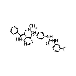 CN(C)Cc1c(-c2ccccc2)[nH]c2ncnc(Oc3ccc(NC(=O)Nc4cccc(F)c4)cc3)c12